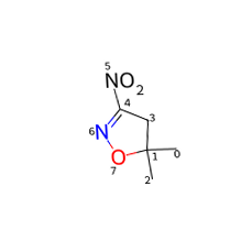 CC1(C)CC([N+](=O)[O-])=NO1